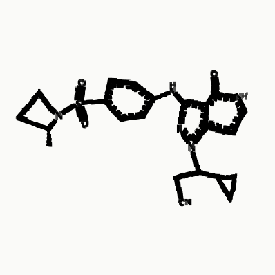 C[C@H]1CCN1S(=O)(=O)c1ccc(Nc2nn(C(CC#N)C3CC3)c3cc[nH]c(=O)c23)cc1